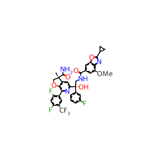 COc1cc(C(=O)NC[C@@](O)(c2cccc(F)c2)c2cc3c(c(-c4cc(C(F)(F)F)c(F)cc4F)n2)OC[C@]3(C)C(N)=O)cc2oc(C3CC3)nc12